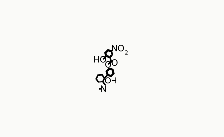 CN(C)CC1CCCCC1(O)c1cccc(OC(=O)c2cc([N+](=O)[O-])ccc2O)c1